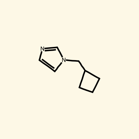 c1cn(CC2CCC2)cn1